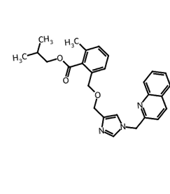 Cc1cccc(COCc2cn(Cc3ccc4ccccc4n3)cn2)c1C(=O)OCC(C)C